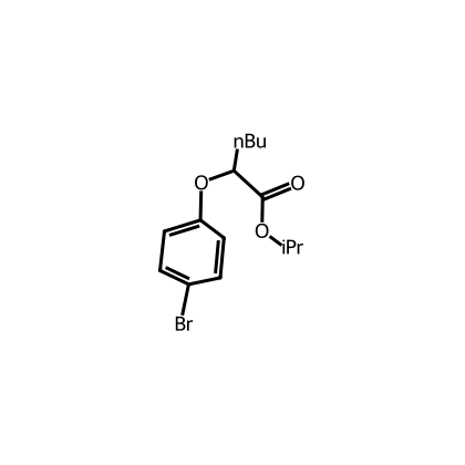 CCCCC(Oc1ccc(Br)cc1)C(=O)OC(C)C